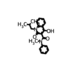 CC(C)Cn1c(=O)c(C(=O)N(C)c2ccccc2)c(O)c2ccccc21